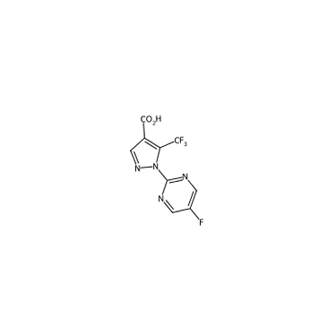 O=C(O)c1cnn(-c2ncc(F)cn2)c1C(F)(F)F